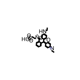 CC/N=c1\ccc2c(-c3ccccc3C(=O)N(C)CCS(=O)(=O)O)c3ccc(NCC)cc3oc-2c1